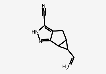 C=CC1C2Cc3c(n[nH]c3C#N)C12